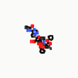 CC(C)C(=O)Nc1ncnn2c([C@@H]3O[C@](C#N)(COP(=O)(N[C@@H](C)C(=O)OC4CCCCC4)Oc4ccccc4)[C@@H](O)[C@H]3O)ccc12